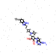 CC(C)(C)c1ccc2[nH]c(CC[C@H]3C[C@@H](N(C[C@H]4C[C@@H](n5ccc6c(N)ncnc65)[C@H](O)[C@@H]4O)C4CCC4)C3)nc2c1